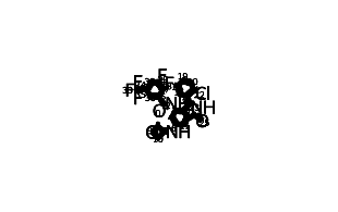 O=C(Nc1cc(NC2COC2)cc2c1C(c1cc(F)ccc1Cl)NC2=O)c1cc(F)cc(C(F)(F)F)c1